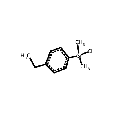 CCc1ccc([Si](C)(C)Cl)cc1